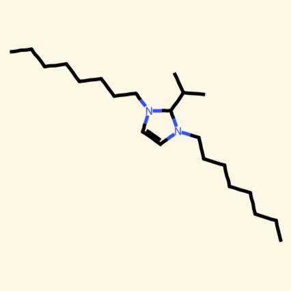 CCCCCCCCN1C=CN(CCCCCCCC)C1C(C)C